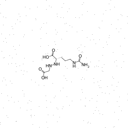 NC(=O)NCCC[C@H](NNCC(=O)O)C(=O)O